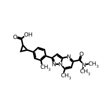 Cc1cc(C2CC2C(=O)O)ccc1-c1cc2nc(C(=O)N(C)C)cc(C)n2n1